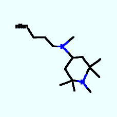 CCCCCCCCCCCCN(C)C1CC(C)(C)N(C)C(C)(C)C1